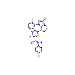 Cc1ncc(-c2cccn3c(I)nc(-c4c(F)cccc4F)c23)cc1C(=O)Nc1ccc(F)cc1